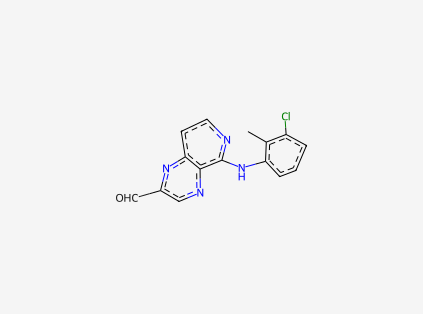 Cc1c(Cl)cccc1Nc1nccc2nc(C=O)cnc12